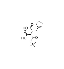 CC(C)(C)OC(=O)[C@H](C(=O)O)[C@@H](CC1=CCCC1)C(=O)O